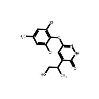 Cc1cc(Cl)c(Oc2cc(C(C)CO)c(=O)[nH]n2)c(Cl)c1